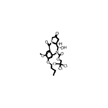 CCCCOc1cc2c(cc1OC)C(=O)N1CC(=O)C[C@H]1[C@H](O)N2C(=O)OCC(Cl)(Cl)Cl